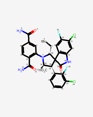 CC(C)(C)C[C@H]1N(c2cc(C(N)=O)ccc2C(N)=O)[C@H](C(=O)O)[C@@H](c2cccc(Cl)c2F)C12C(=O)Nc1cc(Cl)c(F)cc12